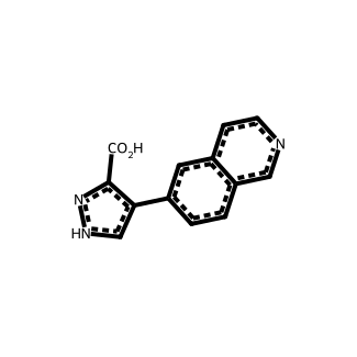 O=C(O)c1n[nH]cc1-c1ccc2cnccc2c1